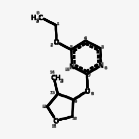 CCOc1ccnc(OC2COCC2C)n1